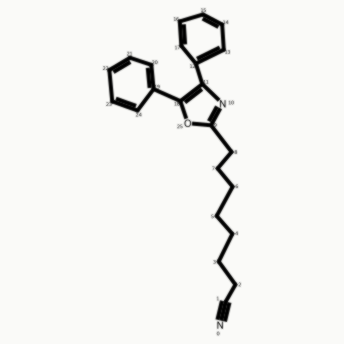 N#CCCCCCCCc1nc(-c2ccccc2)c(-c2ccccc2)o1